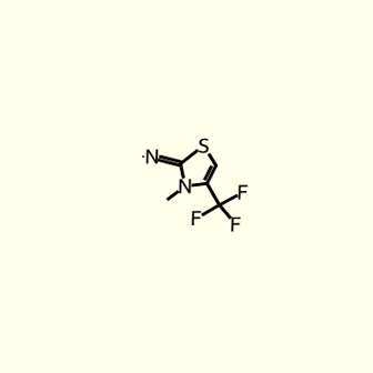 Cn1c(C(F)(F)F)csc1=[N]